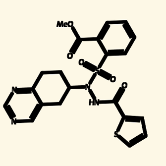 COC(=O)c1ccccc1S(=O)(=O)N(NC(=O)c1cccs1)C1CCc2ncncc2C1